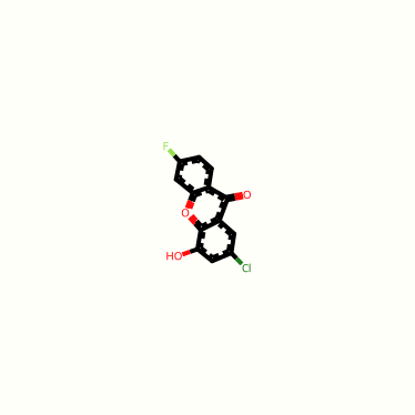 O=c1c2ccc(F)cc2oc2c(O)cc(Cl)cc12